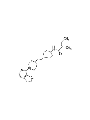 CC[C@H](C)C(=O)NC1CCC(CCN2CCN(c3nccc4c3OCC4)CC2)CC1